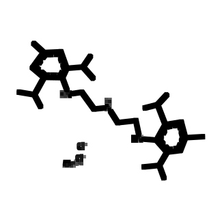 Cc1cc(C(C)C)c(NCCNCCNc2c(C(C)C)cc(C)cc2C(C)C)c(C(C)C)c1.[Cl-].[Cl-].[Mn+2]